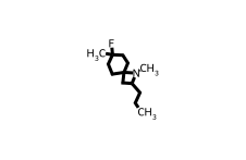 CCCC1CC2(CCC(C)(F)CC2)N1C